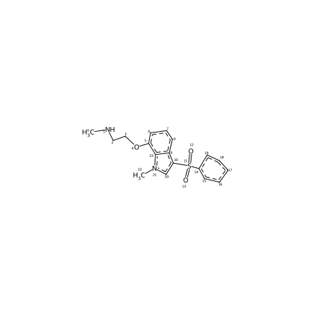 CNCCOc1cccc2c(S(=O)(=O)c3ccccc3)cn(C)c12